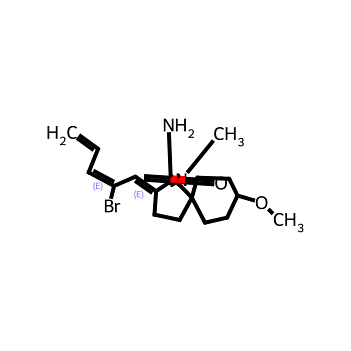 C=C/C=C(Br)\C=C1/CCC2(CCC(OC)CC2)C12N=C(N)N(C)C2=O